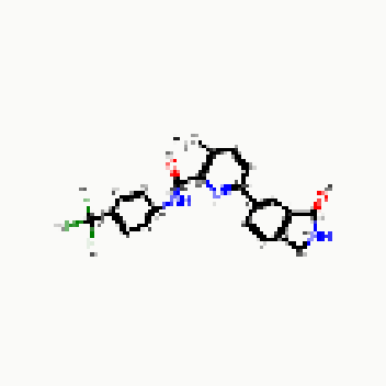 Cc1ccc(-c2ccc3c(c2)C(=O)NC3)nc1C(=O)Nc1ccc(C(F)(F)F)cc1